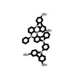 CC(C)(C)c1ccc2c(c1)c1cc(C(C)(C)C)ccc1n2-c1cccc(-n2c3ccccc3c3c4c(ccc32)N(c2ccccc2)c2cccc3c2B4c2cc(C(C)(C)C)cc4c5cc(C(C)(C)C)ccc5n-3c24)c1